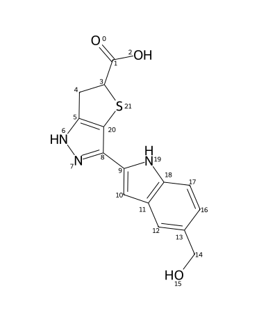 O=C(O)C1Cc2[nH]nc(-c3cc4cc(CO)ccc4[nH]3)c2S1